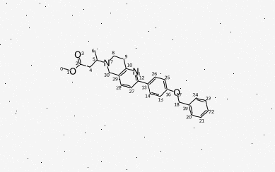 COC(=O)CC(C)N1CCc2nc(-c3ccc(OCc4ccccc4)cc3)ccc2C1